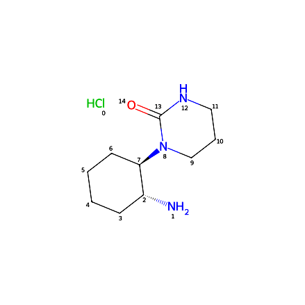 Cl.N[C@@H]1CCCC[C@H]1N1CCCNC1=O